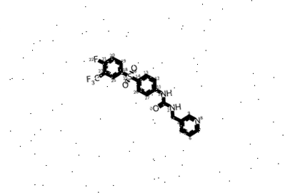 O=C(NCc1cccnc1)Nc1ccc(S(=O)(=O)c2ccc(F)c(C(F)(F)F)c2)cc1